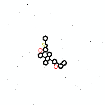 c1ccc(-c2cc3ccc4c(oc5cccc(-c6c7ccccc7c(-c7ccc8c(c7)oc7ccc9ccccc9c78)c7ccccc67)c54)c3s2)cc1